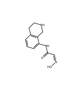 O=C(/C=N\O)Nc1cccc2c1CNCC2